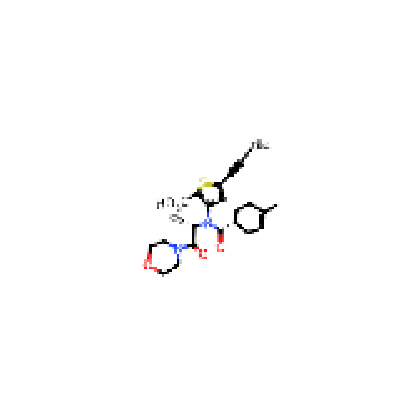 CC[C@@H](C(=O)N1CCOCC1)N(C(=O)[C@H]1CC=C(C)CC1)c1cc(C#CC(C)(C)C)sc1C(=O)O